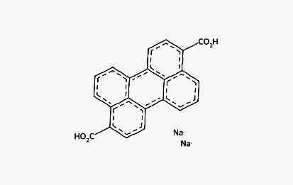 O=C(O)c1ccc2c3cccc4c(C(=O)O)ccc(c5cccc1c52)c43.[Na].[Na]